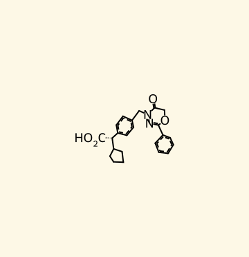 O=C(O)[C@H](c1ccc(CN2N=C(c3ccccc3)OCC2=O)cc1)C1CCCC1